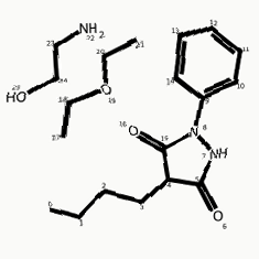 CCCCC1C(=O)NN(c2ccccc2)C1=O.CCOCC.NCCO